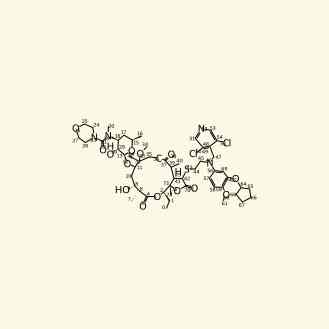 CC[C@H]1OC(=O)[C@H](C)[C@H](O)C[C@@H](O[C@@H]2O[C@H](C)C[C@H](N(C)C(=O)N3CCOCC3)[C@H]2O)[C@](C)(OC)CCC(=O)C(C)[C@H]2C(SCCN(Cc3c(Cl)cncc3Cl)c3ccc(OC)c(OC4CCCC4)c3)C(=O)O[C@@]21C